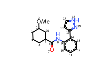 COC1CCCC(C(=O)Nc2ccccc2-c2cc[nH]n2)C1